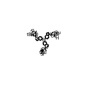 CC(OC(CC(C)(C)C)n1ccc2c[c]([Bi]([c]3ccc4c(ccn4C(CC(C)(C)C)OC(C)O[SiH](C)C)c3)[c]3ccc4c(ccn4C(CC(C)(C)C)OC(C)O[SiH](C)C)c3)ccc21)O[SiH](C)C